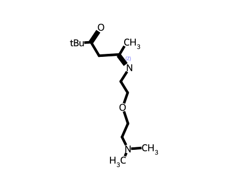 C/C(CC(=O)C(C)(C)C)=N/CCOCCN(C)C